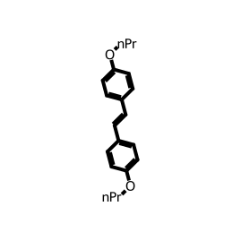 CCCOc1ccc(C=Cc2ccc(OCCC)cc2)cc1